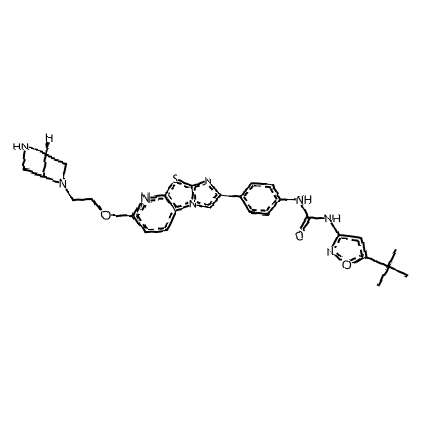 CC(C)(C)c1cc(NC(=O)Nc2ccc(-c3cn4c(n3)sc3nc(OCCN5C[C@H]6NCC65)ccc34)cc2)no1